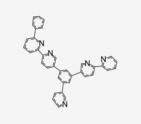 c1ccc(-c2cccc(-c3ccc(-c4cc(-c5cccnc5)cc(-c5ccc(-c6ccccn6)nc5)c4)cn3)n2)cc1